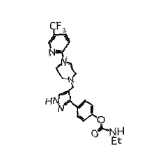 CCNC(=O)Oc1ccc(-c2n[nH]cc2CN2CCN(c3ccc(C(F)(F)F)cn3)CC2)cc1